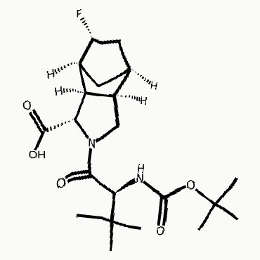 CC(C)(C)OC(=O)N[C@H](C(=O)N1C[C@@H]2[C@H]3C[C@@H]([C@@H]2[C@H]1C(=O)O)[C@H](F)C3)C(C)(C)C